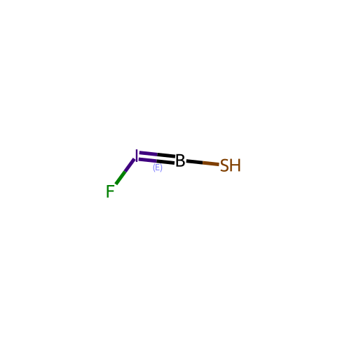 F/I=B/S